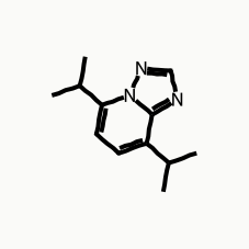 CC(C)c1ccc(C(C)C)n2ncnc12